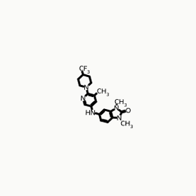 Cc1cc(Nc2ccc3c(c2)n(C)c(=O)n3C)cnc1N1CCC(C(F)(F)F)CC1